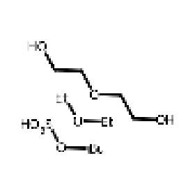 CCC(C)OS(=O)(=O)O.CCOCC.OCCOCCO